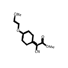 COCCOC1CCC(=C(C#N)C(=O)OC)CC1